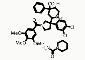 CCN1CCC(C(=O)O)(c2ccccc2)CC1C1(c2ccc(Cl)c(Cl)c2)CCN(C(=O)c2cc(OC)c(OC)c(OC)c2)C1.NC(=O)N1CCCCC1